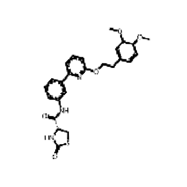 COC1C=CC(CCOc2cccc(-c3cccc(NC(=O)[C@@H]4CSC(=O)N4)c3)n2)=CC1OC